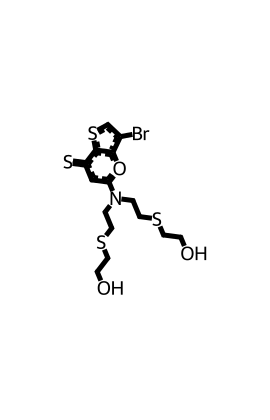 OCCSCCN(CCSCCO)c1cc(=S)c2scc(Br)c2o1